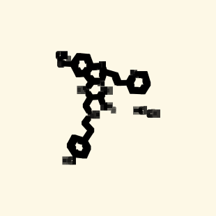 COc1ccc2nc(C=Cc3ccccn3)nc(NC(CNCCc3ccccc3)C(=N)N)c2c1.Cl.Cl.Cl